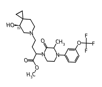 COC(=O)C(CCN1CCC2(CC2)[C@H](O)C1)N1CCN(c2cccc(OC(F)(F)F)c2)C(C)C1=O